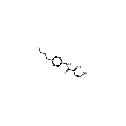 CCCCc1ccc(NC(=O)C(=N)/C=C\S)cc1